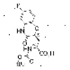 CC(C)(C)OC(=O)N[C@@H](C[C@@H]1Oc2ccc(F)cc2NC1=O)C(=O)O